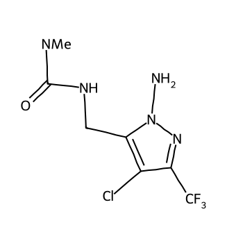 CNC(=O)NCc1c(Cl)c(C(F)(F)F)nn1N